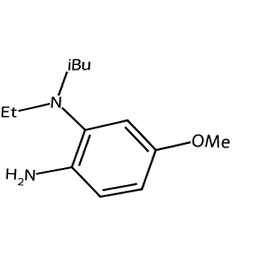 CCC(C)N(CC)c1cc(OC)ccc1N